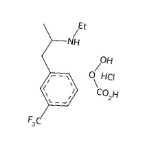 CCNC(C)Cc1cccc(C(F)(F)F)c1.Cl.O=C(O)OO